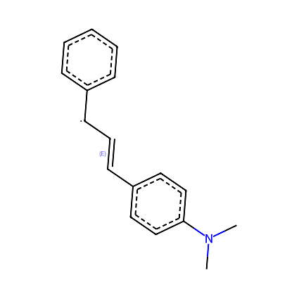 CN(C)c1ccc(/C=C/[CH]c2ccccc2)cc1